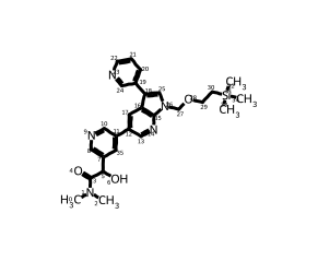 CN(C)C(=O)C(O)c1cncc(-c2cnc3c(c2)c(-c2cccnc2)cn3COCC[Si](C)(C)C)c1